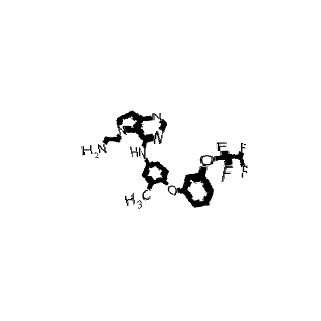 Cc1cc(Nc2ncnc3ccn(CCN)c23)ccc1Oc1cccc(OC(F)(F)C(F)F)c1